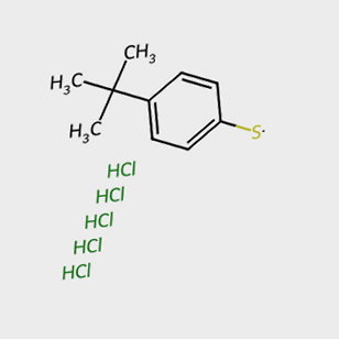 CC(C)(C)c1ccc([S])cc1.Cl.Cl.Cl.Cl.Cl